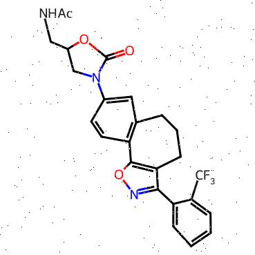 CC(=O)NCC1CN(c2ccc3c(c2)CCCc2c(-c4ccccc4C(F)(F)F)noc2-3)C(=O)O1